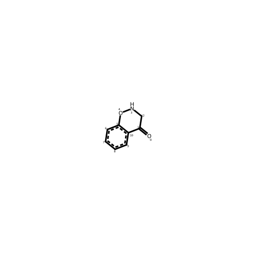 O=C1[C]NOc2ccccc21